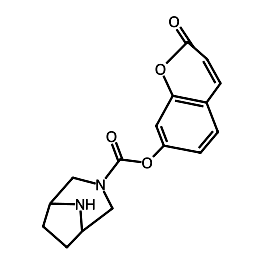 O=C(Oc1ccc2ccc(=O)oc2c1)N1CC2CCC(C1)N2